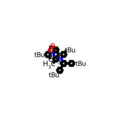 Cc1cc2c3c(c1)N(c1c(C)cc(C(C)(C)C)cc1C)c1c(ccc4c1OCO4)B3c1cc(C(C)(C)C)ccc1N2c1cc(-c2ccc(C(C)(C)C)cc2)cc(-c2ccc(C(C)(C)C)cc2)c1